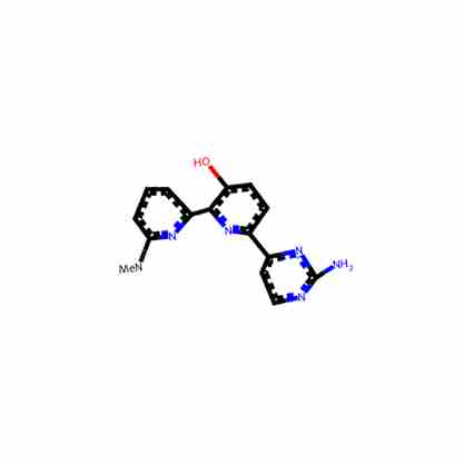 CNc1cccc(-c2nc(-c3ccnc(N)n3)ccc2O)n1